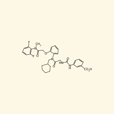 CN(C(=O)COc1ccccc1N(CC1CCCCC1)C(=O)CNC(=O)Nc1cccc(C(=O)O)c1)c1c(F)cccc1F